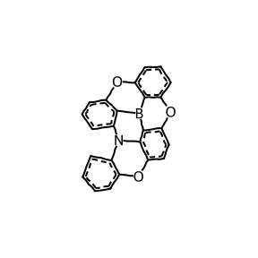 c1ccc2c(c1)Oc1ccc3c4c1N2c1cccc2c1B4c1c(cccc1O3)O2